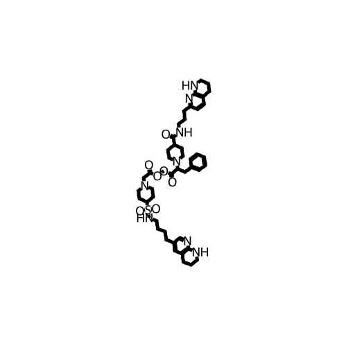 O=C(CN1CCC(S(=O)(=O)NCCCCc2cnc3c(c2)CCCN3)CC1)OOC(=O)C(Cc1ccccc1)N1CCC(C(=O)NCCCc2ccc3c(n2)NCCC3)CC1